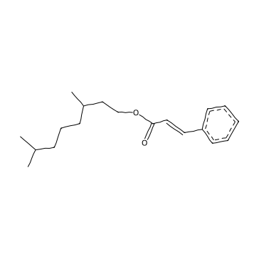 CC(C)CCCC(C)CCOC(=O)/C=C/c1ccccc1